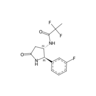 CC(F)(F)C(=O)N[C@H]1CC(=O)N[C@@H]1c1cccc(F)c1